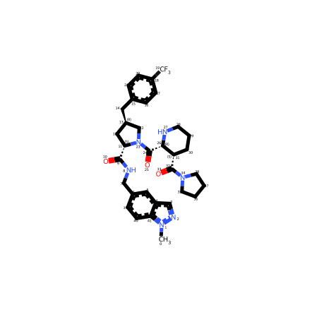 Cn1ncc2cc(CNC(=O)[C@@H]3C[C@@H](Cc4ccc(C(F)(F)F)cc4)CN3C(=O)[C@@H]3NCCC[C@@H]3C(=O)N3CCCC3)ccc21